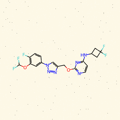 Fc1ccc(-n2cc(COc3nccc(NC4CC(F)(F)C4)n3)nn2)cc1OC(F)F